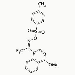 COc1ccc(/C(=N\OS(=O)(=O)c2ccc(C)cc2)C(F)(F)F)c2ccccc12